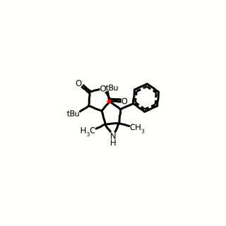 CC(C)(C)CC(c1ccccc1)C1(C)NC1(C)C1C(=O)OC(=O)C1C(C)(C)C